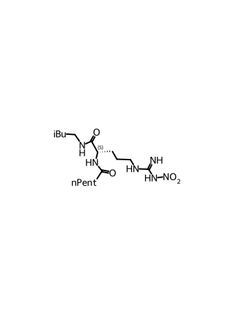 [CH2]CC(C)CNC(=O)[C@H](CCCNC(=N)N[N+](=O)[O-])NC(=O)CCCCC